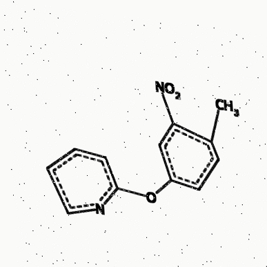 Cc1ccc(Oc2ccccn2)cc1[N+](=O)[O-]